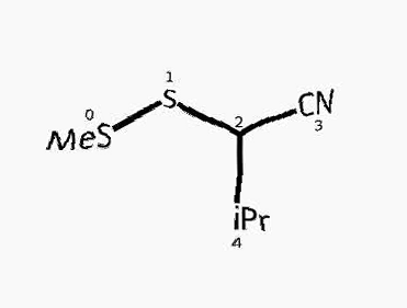 CSSC(C#N)C(C)C